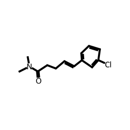 CN(C)C(=O)CC/C=C/c1cccc(Cl)c1